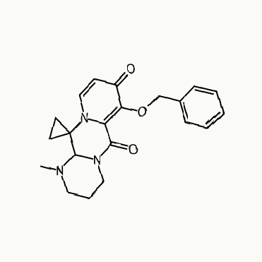 CN1CCCN2C(=O)c3c(OCc4ccccc4)c(=O)ccn3C3(CC3)C12